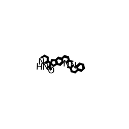 CC1CCc2ccccc2N1Cc1ccc2cc3c(cc2n1)CC1(C3)C(=O)NC2=C1CCC=N2